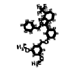 COc1cc(COc2cccc(-c3c4cccc(C(F)(F)F)c4nn3Cc3ccccc3)c2)cc(OC)c1